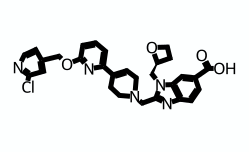 O=C(O)c1ccc2nc(CN3CC=C(c4cccc(OCc5ccnc(Cl)c5)n4)CC3)n(C[C@@H]3CCO3)c2c1